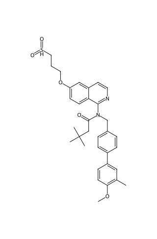 COc1ccc(-c2ccc(CN(C(=O)CC(C)(C)C)c3nccc4cc(OCCC[SH](=O)=O)ccc34)cc2)cc1C